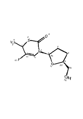 NC1SC(=O)N([C@H]2CC[C@@H](CO)O2)C=C1F